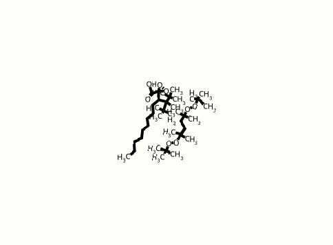 CC(C)(C)OOC(C)(C)CCC(C)(C)OOC(C)(C)C.CCCCCCCCCC(C1(C(=O)O)OO1)C(C)(C(C)(C)C)C(C)(C)C